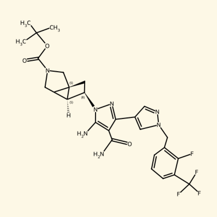 CC(C)(C)OC(=O)N1CC2[C@@H]3[C@H](n4nc(-c5cnn(Cc6cccc(C(F)(F)F)c6F)c5)c(C(N)=O)c4N)C[C@]23C1